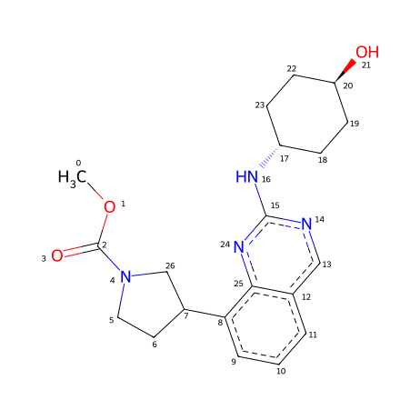 COC(=O)N1CCC(c2cccc3cnc(N[C@H]4CC[C@H](O)CC4)nc23)C1